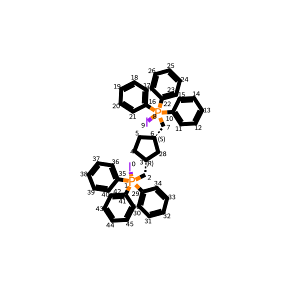 IP(C[C@@H]1CC[C@H](CP(I)(c2ccccc2)(c2ccccc2)c2ccccc2)C1)(c1ccccc1)(c1ccccc1)c1ccccc1